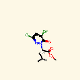 COC(=O)[C@H](CC(C)C)n1nc(Cl)cc(Br)c1=O